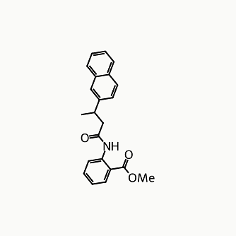 COC(=O)c1ccccc1NC(=O)CC(C)c1ccc2ccccc2c1